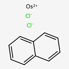 [Cl-].[Cl-].[Os+2].c1ccc2ccccc2c1